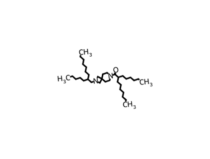 CCCCCCCC(CCCCC)CN1CC2(CCN(C(=O)C(CCCCCC)CCCCCCC)CC2)C1